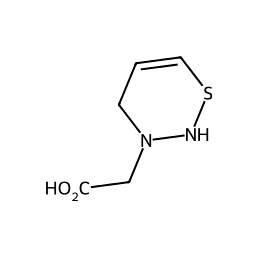 O=C(O)CN1CC=CSN1